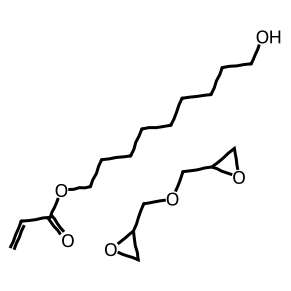 C(OCC1CO1)C1CO1.C=CC(=O)OCCCCCCCCCO